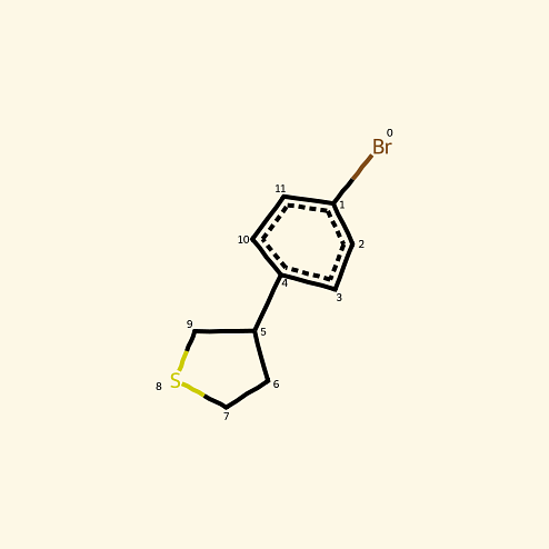 Brc1ccc(C2CCSC2)cc1